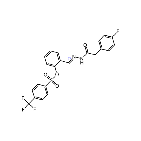 O=C(Cc1ccc(F)cc1)N/N=C/c1ccccc1OS(=O)(=O)c1ccc(C(F)(F)F)cc1